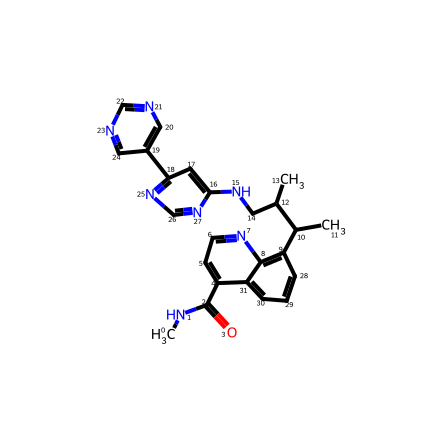 CNC(=O)c1ccnc2c(C(C)C(C)CNc3cc(-c4cncnc4)ncn3)cccc12